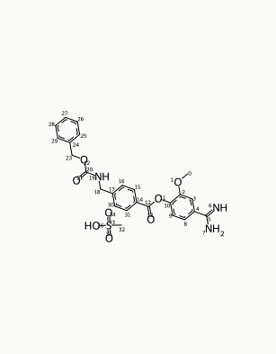 COc1cc(C(=N)N)ccc1OC(=O)c1ccc(CNC(=O)OCc2ccccc2)cc1.CS(=O)(=O)O